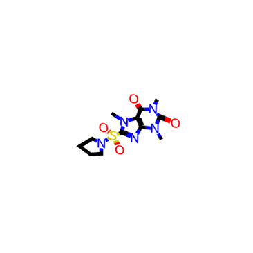 Cn1c(=O)c2c(nc(S(=O)(=O)N3CCCC3)n2C)n(C)c1=O